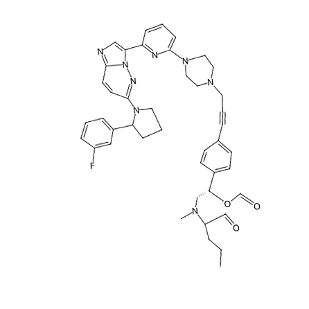 CCCC(C=O)N(C)C[C@@H](OC=O)c1ccc(C#CCN2CCN(c3cccc(-c4cnc5ccc(N6CCCC6c6cccc(F)c6)nn45)n3)CC2)cc1